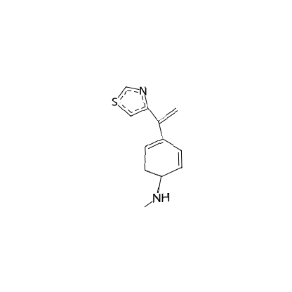 C=C(C1=CCC(NC)C=C1)c1cscn1